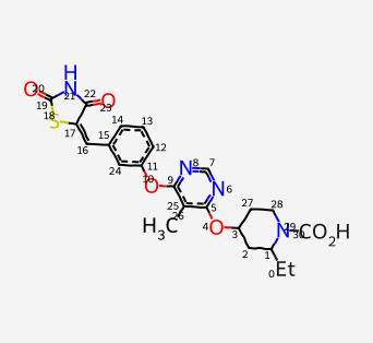 CCC1CC(Oc2ncnc(Oc3cccc(C=C4SC(=O)NC4=O)c3)c2C)CCN1C(=O)O